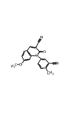 COc1ccc2cc(C#N)c(=O)n(-c3ccc(C)c(C#N)c3)c2c1